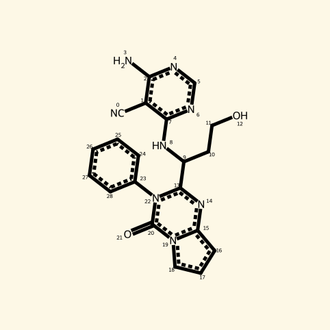 N#Cc1c(N)ncnc1NC(CCO)c1nc2cccn2c(=O)n1-c1ccccc1